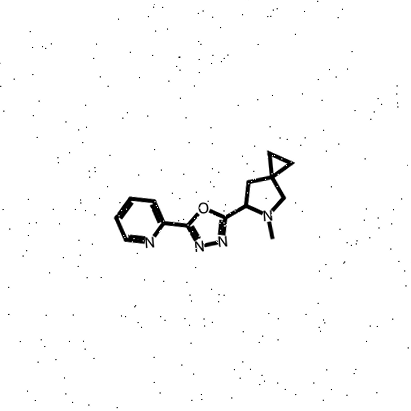 CN1CC2(CC2)CC1c1nnc(-c2ccccn2)o1